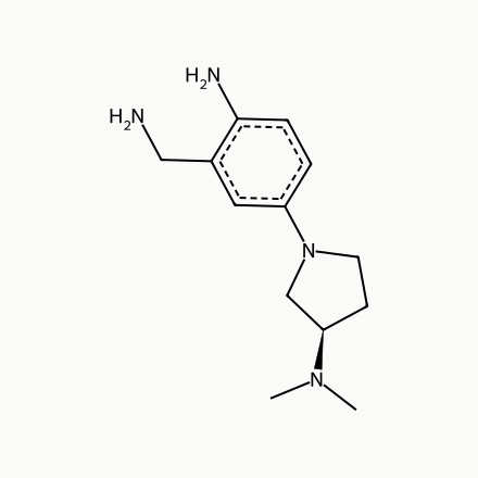 CN(C)[C@@H]1CCN(c2ccc(N)c(CN)c2)C1